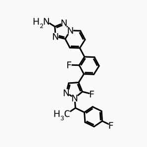 CC(c1ccc(F)cc1)n1ncc(-c2cccc(-c3ccn4nc(N)nc4c3)c2F)c1F